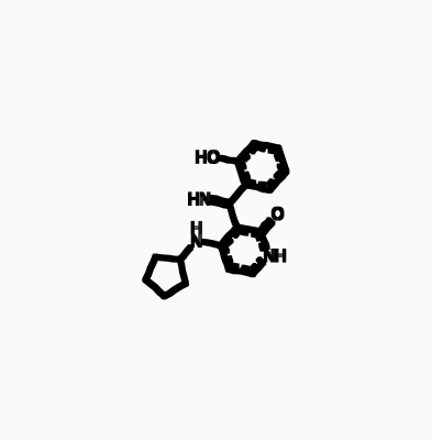 N=C(c1ccccc1O)c1c(NC2CCCC2)cc[nH]c1=O